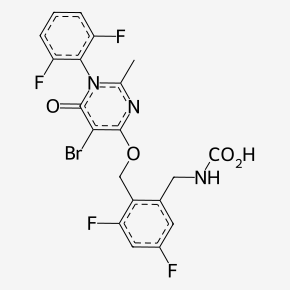 Cc1nc(OCc2c(F)cc(F)cc2CNC(=O)O)c(Br)c(=O)n1-c1c(F)cccc1F